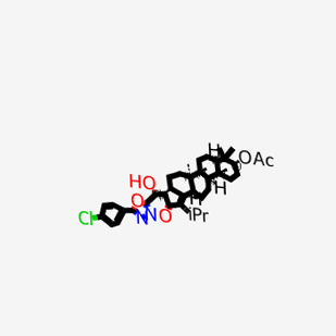 CC(=O)O[C@H]1CC[C@]2(C)[C@H]3CC[C@@H]4C5=C(C(C)C)C(=O)[C@@H]([C@H](O)c6nnc(-c7ccc(Cl)cc7)o6)C5CC[C@@]4(C)[C@]3(C)CC[C@H]2C1(C)C